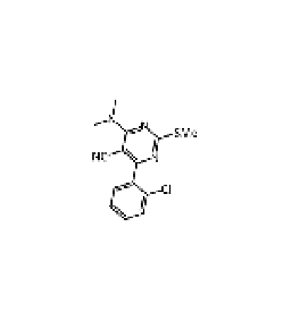 CSc1nc(-c2ccccc2Cl)c(C#N)c(N(C)C)n1